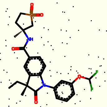 CC[C@@]1(C)C(=O)N(c2cccc(OC(F)F)c2)c2ccc(C(=O)N[C@@]3(C)CCS(=O)(=O)C3)cc21